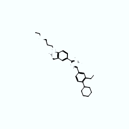 CCOC(=O)CCn1ncc2cc(-c3noc(-c4ccc(C5CCCCC5)c(CC)c4)n3)ccc21